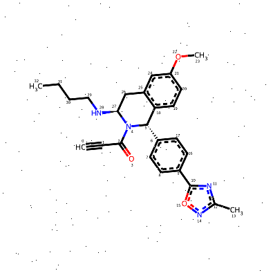 C#CC(=O)N1[C@@H](c2ccc(-c3nc(C)no3)cc2)c2ccc(OC)cc2C[C@@H]1NCCCC